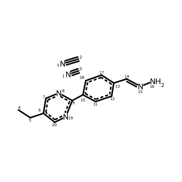 C#N.C#N.CCc1cnc(-c2ccc(C=NN)cc2)nc1